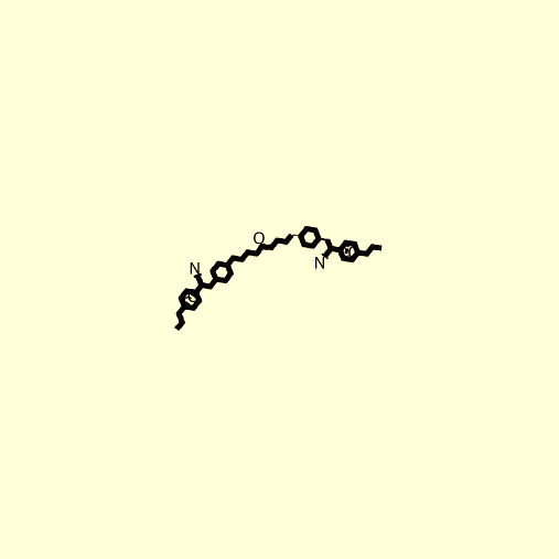 CCCC12CCC(C(C#N)CC3CCC(CCCCC(=O)CCCC[C@H]4CC[C@H](CC(C#N)C56CCC(CCC)(CC5)CC6)CC4)CC3)(CC1)CC2